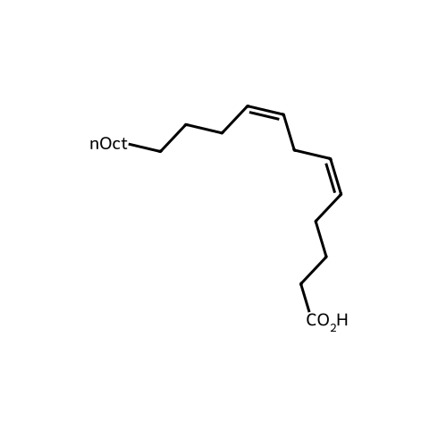 CCCCCCCCCCC/C=C\C/C=C\CCCC(=O)O